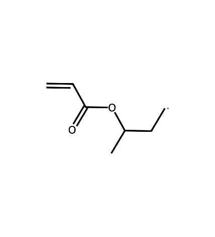 [CH2]CC(C)OC(=O)C=C